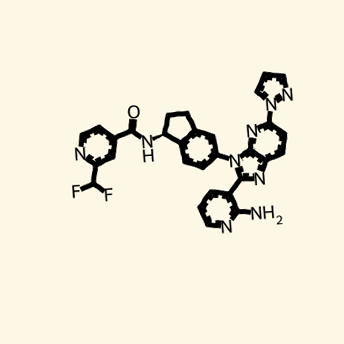 Nc1ncccc1-c1nc2ccc(-n3cccn3)nc2n1-c1ccc2c(c1)CC[C@@H]2NC(=O)c1ccnc(C(F)F)c1